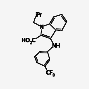 CC(C)Cn1c(C(=O)O)c(Nc2cccc(C(F)(F)F)c2)c2ccccc21